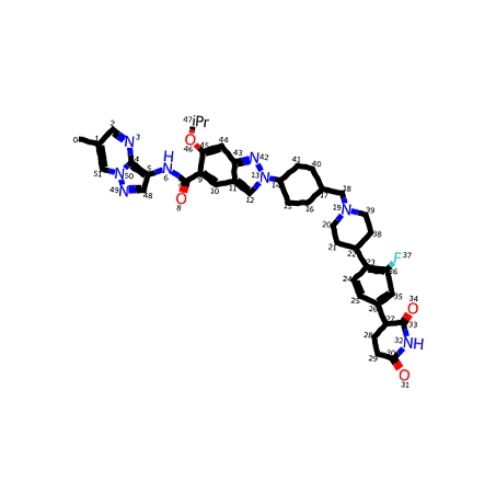 Cc1cnc2c(NC(=O)c3cc4cn(C5CCC(CN6CCC(c7ccc(C8CCC(=O)NC8=O)cc7F)CC6)CC5)nc4cc3OC(C)C)cnn2c1